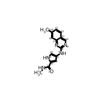 CNC(=O)c1cc(Nc2ncc3ccc(C)cc3n2)c[nH]1